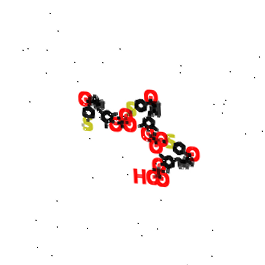 CSc1ccc(C(=O)[C@@H](C)[C@H](C)Cc2cc(C)c(OC(C)(C)C(=O)OCSc3ccc(C(=O)[C@H](C)[C@@H](C)Cc4cc(C)c(OC(C)(C)C(=O)OCSc5ccc(C(=O)[C@@H](C)[C@H](C)Cc6cc(C)c(OC(C)(C)C(=O)O)c(C)c6)cc5)c(C)c4)cc3)c(C)c2)cc1